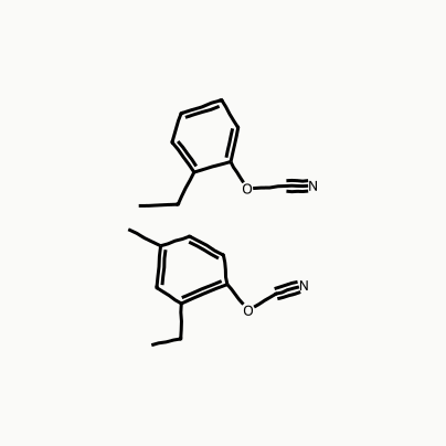 CCc1cc(C)ccc1OC#N.CCc1ccccc1OC#N